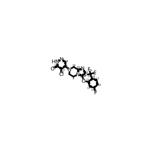 O=c1[nH]ncc(N2CCn3c(Oc4cc(F)ccc4C(F)(F)F)cnc3C2)c1Cl